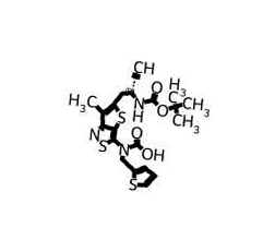 C#C[C@@H](Cc1sc2c(N(Cc3cccs3)C(=O)O)snc2c1C)NC(=O)OC(C)(C)C